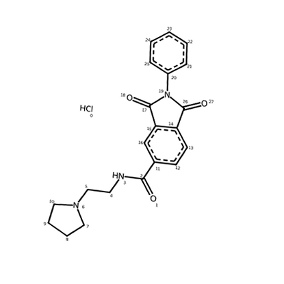 Cl.O=C(NCCN1CCCC1)c1ccc2c(c1)C(=O)N(c1ccccc1)C2=O